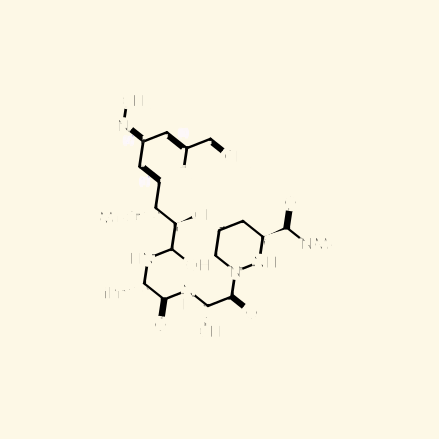 C=C/C(=C/C(/C=C/[C@@H](OC)[C@@H](C)C(O)N[C@H](C(=O)N[C@@H](C)C(=O)N1CCC[C@@H](C(=O)NC)N1)C(C)C)=N\C)CC